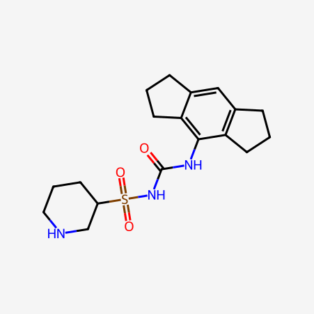 O=C(Nc1c2c(cc3c1CCC3)CCC2)NS(=O)(=O)C1CCCNC1